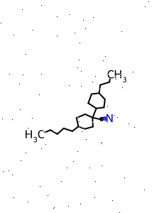 CCCCCC1CCC(C#N)(C2CCC(CCC)CC2)CC1